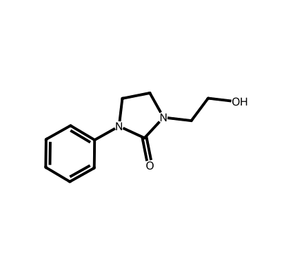 O=C1N(CCO)CCN1c1ccccc1